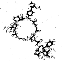 Cc1ncsc1-c1ccc([C@@H]2CC(=O)NCC(=O)N[C@H](CNC(=O)C[C@@H]3N=C(c4ccc(Cl)cc4)c4c(sc(C)c4C)-n4c(C)nnc43)C(=O)NCCOCC(=O)N[C@@H](C(C)(C)C)C(=O)N3CCC[C@H]3C(=O)N2)cc1